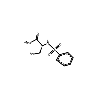 COC(=O)[C@H](CS)NS(=O)(=O)c1ccccc1